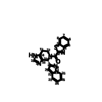 O=C(c1nc2ccccc2s1)N1CCc2[nH]cnc2[C@H]1c1cc2ccccn2n1